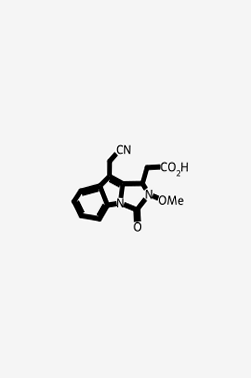 CON1C(=O)n2c(c(CC#N)c3ccccc32)C1CC(=O)O